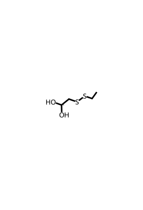 CCSSC[C](O)O